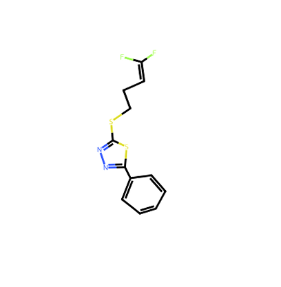 FC(F)=CCCSc1nnc(-c2ccccc2)s1